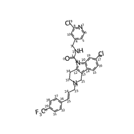 O=C(NCc1ccnc(Cl)c1)n1c2c(c3ccc(Cl)cc31)CN(CC=Cc1ccc(C(F)(F)F)cc1)CC2